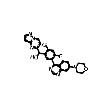 OC(c1ccn2nccc2n1)c1cc(-c2ncnc3cc(N4CCOCC4)ccc23)c(F)cc1Cl